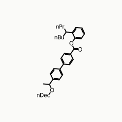 CCCCCCCCCCOC(C)c1ccc(-c2ccc(C(=O)Oc3ccccc3C(CCC)CCCC)cc2)cc1